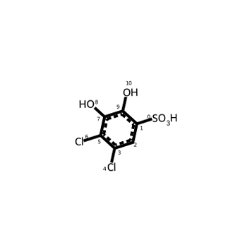 O=S(=O)(O)c1cc(Cl)c(Cl)c(O)c1O